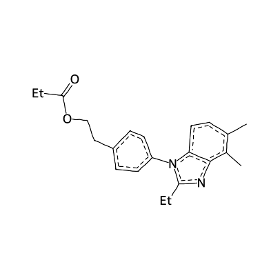 CCC(=O)OCCc1ccc(-n2c(CC)nc3c(C)c(C)ccc32)cc1